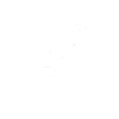 O=C(OCCN1CCS(=O)(=O)CC1)C1CC2C=CC1C2